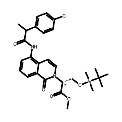 COC(=O)[C@@H](CO[Si](C)(C)C(C)(C)C)n1ccc2c(NC(=O)C(C)c3ccc(Cl)cc3)cccc2c1=O